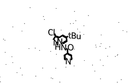 CC(C)(C)c1cc(NC(=O)c2ccncc2)n2ncc(Cl)c2c1